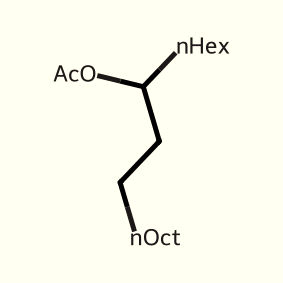 CCCCCCCCCCC(CCCCCC)OC(C)=O